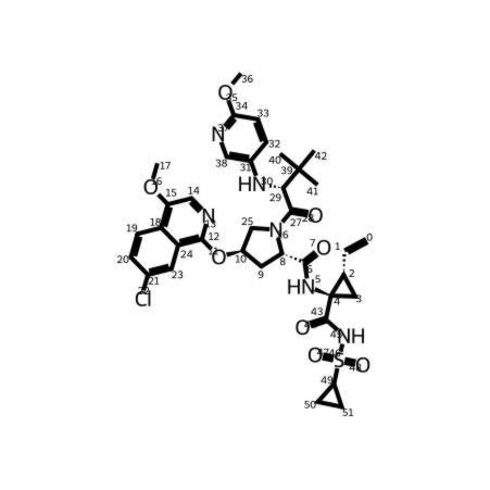 C=C[C@@H]1C[C@]1(NC(=O)[C@@H]1C[C@@H](Oc2ncc(OC)c3ccc(Cl)cc23)CN1C(=O)[C@H](Nc1ccc(OC)nc1)C(C)(C)C)C(=O)NS(=O)(=O)C1CC1